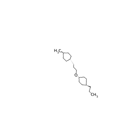 CCC[C@H]1CC[C@H](OCCC[C@H]2CC[C@H](C)CC2)CC1